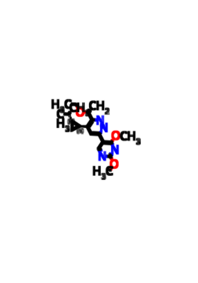 C=C(OCC)c1nnc(-c2cnc(OC)nc2OC)cc1[C@H]1C[C@@H]1C(C)C